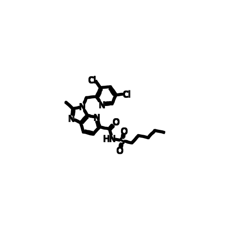 CCCCCS(=O)(=O)NC(=O)c1ccc2nc(C)n(Cc3ncc(Cl)cc3Cl)c2n1